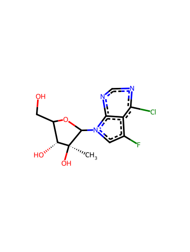 C[C@@]1(O)C(n2cc(F)c3c(Cl)ncnc32)OC(CO)[C@H]1O